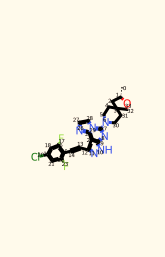 C[C@H]1CC2(CCN(c3nc4[nH]nc(C#Cc5c(F)cc(Cl)cc5F)c4c4nccn34)CC2)CO1